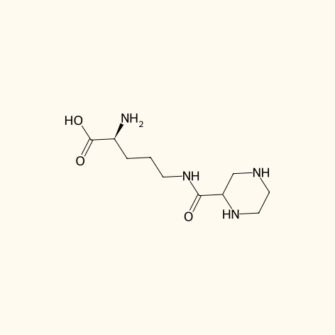 N[C@@H](CCCNC(=O)C1CNCCN1)C(=O)O